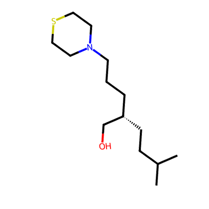 CC(C)CC[C@H](CO)CCCN1CCSCC1